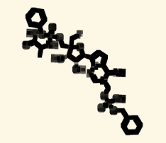 CC(NP(=O)(OC[C@@]1(CF)O[C@@H](c2ccc3c(=N)n(COP(=O)(O)OCc4ccccc4)cnn23)[C@H](O)[C@@H]1O)Oc1ccccc1)C(=O)O